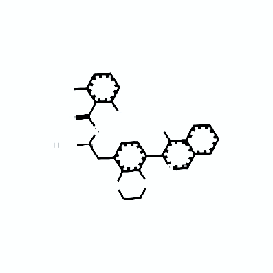 O=C(N[C@@H](Cc1ccc(-c2ncc3ccccc3c2C(F)(F)F)c2c1OCCO2)C(=O)O)c1c(F)cccc1F